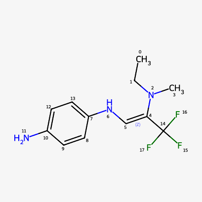 CCN(C)/C(=C\Nc1ccc(N)cc1)C(F)(F)F